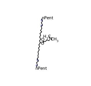 CCCCC/C=C/C/C=C/CCCCCCCCC(CCCCCCCC/C=C/C/C=C/CCCCC)OC(=O)CCCN(C)C